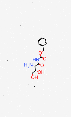 N[C@H](C(=O)NC(=O)OCc1ccccc1)[C@@H](O)CO